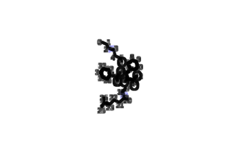 CC/C=C/CCOc1cccc2oc(=O)c(OC/C=C(\C)CCC=C(C)C)c(OC(=O)c3ccccc3)c12